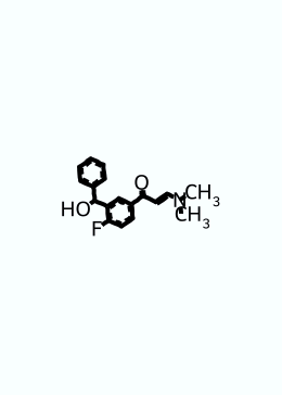 CN(C)C=CC(=O)c1ccc(F)c(C(O)c2ccccc2)c1